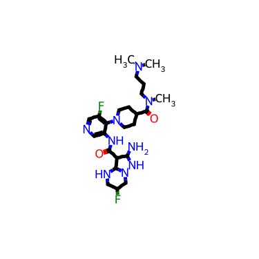 CN(C)CCCN(C)C(=O)C1CCN(c2c(F)cncc2NC(=O)C2C(N)NN3CC(F)CNC23)CC1